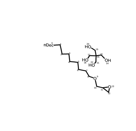 CCCCCCCCCCCCCCCCCCOCC1CO1.OCC(CO)(CO)CO